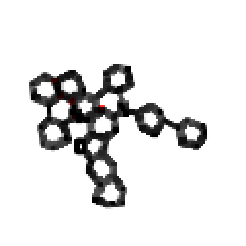 c1ccc(-c2ccc(N(c3cc(N(c4ccccc4)c4ccccc4-c4ccccc4)c4oc5cc6ccccc6cc5c4c3)c3ccccc3-c3ccccc3)cc2)cc1